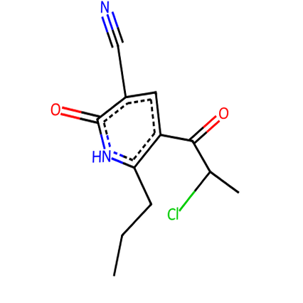 CCCc1[nH]c(=O)c(C#N)cc1C(=O)C(C)Cl